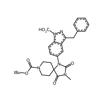 CN1C(=O)N(c2ccc3c(c2)c(Cc2ccccc2)nn3C(=O)O)C2(CCN(C(=O)OC(C)(C)C)CC2)C1=O